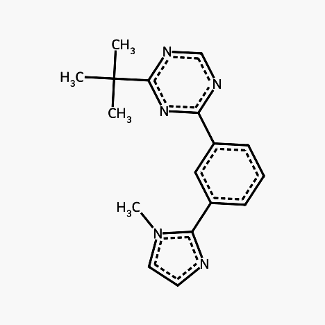 Cn1ccnc1-c1cccc(-c2ncnc(C(C)(C)C)n2)c1